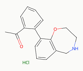 CC(=O)c1ccccc1-c1cccc2c1OCCNC2.Cl